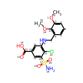 COc1cccc(CNc2cc(C(=O)O)cc(S(N)(=O)=O)c2Cl)c1OC